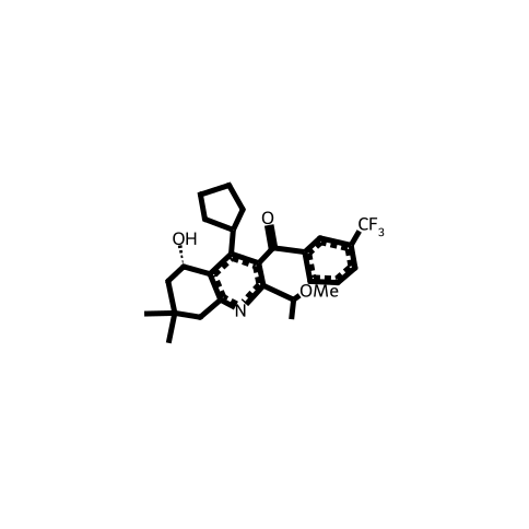 COC(C)c1nc2c(c(C3CCCC3)c1C(=O)c1cccc(C(F)(F)F)c1)[C@@H](O)CC(C)(C)C2